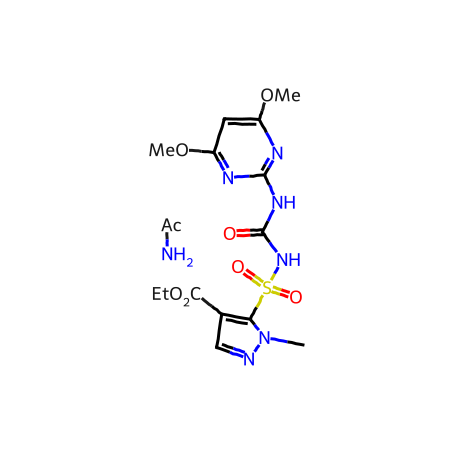 CC(N)=O.CCOC(=O)c1cnn(C)c1S(=O)(=O)NC(=O)Nc1nc(OC)cc(OC)n1